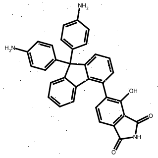 Nc1ccc(C2(c3ccc(N)cc3)c3ccccc3-c3c(-c4ccc5c(c4O)C(=O)NC5=O)cccc32)cc1